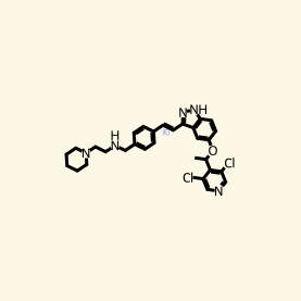 CC(Oc1ccc2[nH]nc(/C=C/c3ccc(CNCCN4CCCCC4)cc3)c2c1)c1c(Cl)cncc1Cl